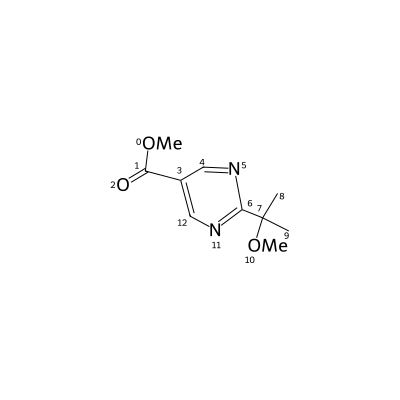 COC(=O)c1cnc(C(C)(C)OC)nc1